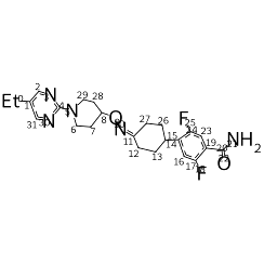 CCc1cnc(N2CCC(ON=C3CCC(c4cc(F)c(C(N)=O)cc4F)CC3)CC2)nc1